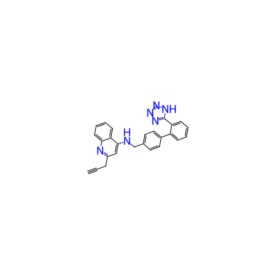 C#CCc1cc(NCc2ccc(-c3ccccc3-c3nnn[nH]3)cc2)c2ccccc2n1